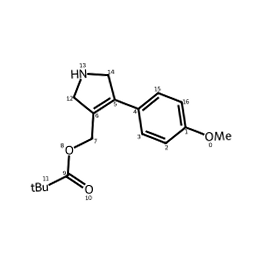 COc1ccc(C2=C(COC(=O)C(C)(C)C)CNC2)cc1